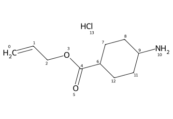 C=CCOC(=O)C1CCC(N)CC1.Cl